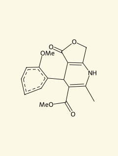 COC(=O)C1=C(C)NC2=C(C(=O)OC2)C1c1ccccc1OC